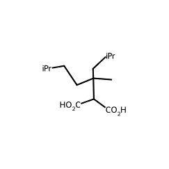 CC(C)CCC(C)(CC(C)C)C(C(=O)O)C(=O)O